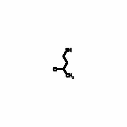 CC(Cl)CCS